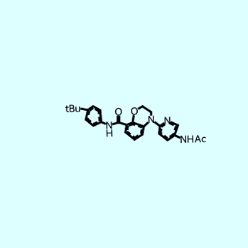 CC(=O)Nc1ccc(N2CCOc3c(C(=O)Nc4ccc(C(C)(C)C)cc4)cccc32)nc1